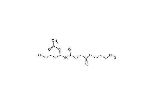 CCCCOC(=O)CCC(=O)OC(CCCCl)OC(C)=O